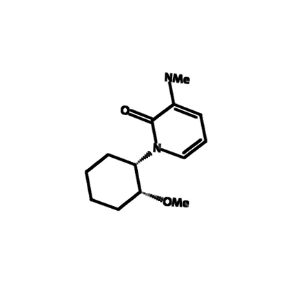 CNc1cccn([C@H]2CCCC[C@H]2OC)c1=O